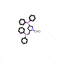 O=CN1CC(P(c2ccccc2)c2ccccc2)CC1CP(c1ccccc1)c1ccccc1